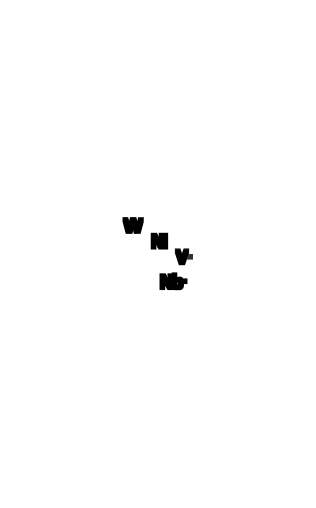 [Nb].[Ni].[V].[W]